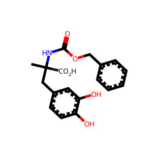 CC(Cc1ccc(O)c(O)c1)(NC(=O)OCc1ccccc1)C(=O)O